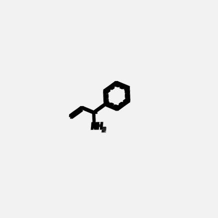 C=C[C](N)c1ccccc1